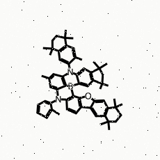 Cc1cc2c3c(c1)N(c1ccccc1C)c1ccc4c(oc5cc6c(cc54)C(C)(C)CCC6(C)C)c1B3c1cc3c(cc1N2c1cc2c(cc1C)C(C)(C)CCC2(C)C)C(C)(C)CC3(C)C